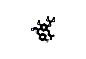 COc1cc(OC(OC)OC)c(CC=C(C)C)cc1/C(C=O)=C\c1ccc(F)cc1